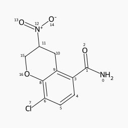 NC(=O)c1ccc(Cl)c2c1CC([N+](=O)[O-])CO2